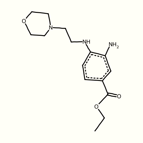 CCOC(=O)c1ccc(NCCN2CCOCC2)c(N)c1